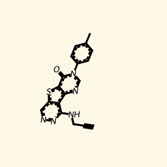 C#CCNc1nncc2sc3c(=O)n(-c4ccc(C)cc4)cnc3c12